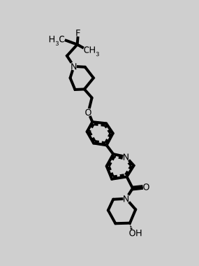 CC(C)(F)CN1CCC(COc2ccc(-c3ccc(C(=O)N4CCC[C@@H](O)C4)cn3)cc2)CC1